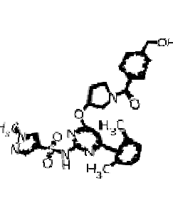 Cc1cccc(C)c1-c1cc(OC2CCN(C(=O)c3ccc(CO)cc3)C2)nc(NS(=O)(=O)c2cnn(C)c2)n1